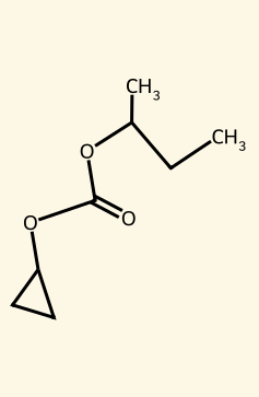 CCC(C)OC(=O)OC1CC1